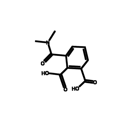 CN(C)C(=O)c1cccc(C(=O)O)c1C(=O)O